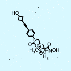 C[C@@](C[C@H]1CN(c2ccc(C#CC3CC(O)C3)cc2)C(=O)O1)(C(=O)NO)S(C)(=O)=O